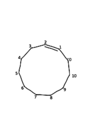 [CH]1C=CCCCCCCCC1